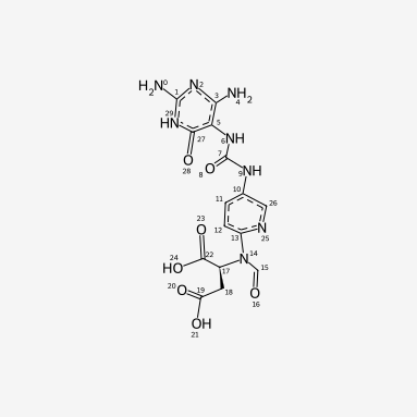 Nc1nc(N)c(NC(=O)Nc2ccc(N(C=O)[C@@H](CC(=O)O)C(=O)O)nc2)c(=O)[nH]1